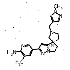 Cn1cc(CN2CC[C@@]3(CCn4nc(-c5cnc(N)c(C(F)(F)F)c5)cc43)C2)cn1